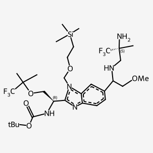 COCC(NC[C@](C)(N)C(F)(F)F)c1ccc2nc([C@H](COC(C)(C)C(F)(F)F)NC(=O)OC(C)(C)C)n(COCC[Si](C)(C)C)c2c1